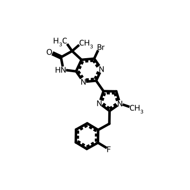 Cn1cc(-c2nc(Br)c3c(n2)NC(=O)C3(C)C)nc1Cc1ccccc1F